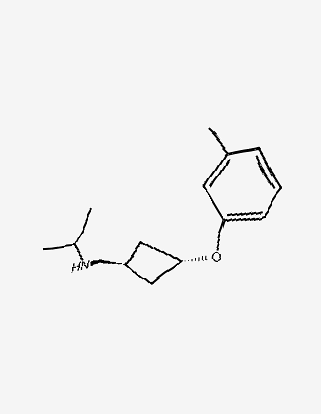 Cc1cccc(O[C@H]2C[C@H](NC(C)C)C2)c1